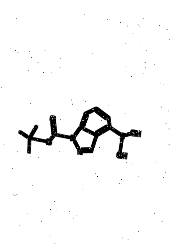 CC(C)(C)OC(=O)n1ncc2c(B(O)O)cccc21